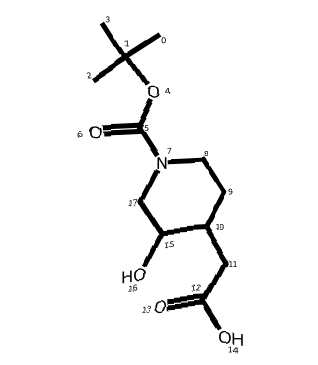 CC(C)(C)OC(=O)N1CCC(CC(=O)O)C(O)C1